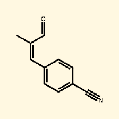 CC(C=O)=Cc1ccc(C#N)cc1